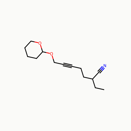 CCC(C#N)CCC#CCOC1CCCCO1